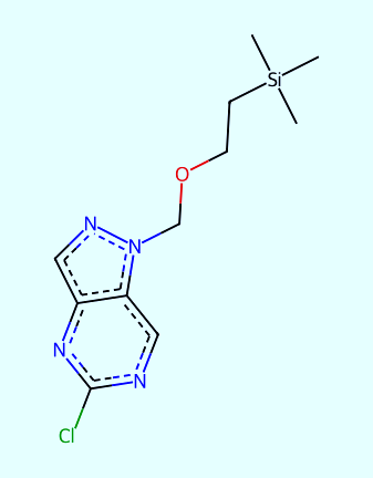 C[Si](C)(C)CCOCn1ncc2nc(Cl)ncc21